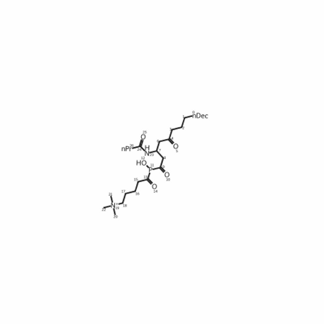 CCCCCCCCCCCCCC(=O)CC(CC(=O)P(O)C(=O)CCCC[N+](C)(C)C)NC(=O)CCC